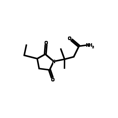 CCC1CC(=O)N(C(C)(C)CC(N)=O)C1=O